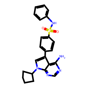 Nc1ncnc2c1c(-c1ccc(S(=O)(=O)Nc3ccccc3)cc1)cn2C1CCCC1